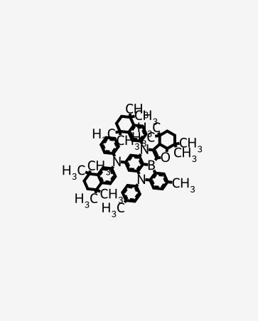 Cc1ccc(N2c3ccc(C)cc3B3C4=C(C5C(O4)C(C)(C)CCC5(C)C)N(c4ccc5c(c4)C(C)(C)CCC5(C)C)c4cc(N(c5ccccc5)c5ccc6c(c5)C(C)(C)CCC6(C)C)cc2c43)cc1